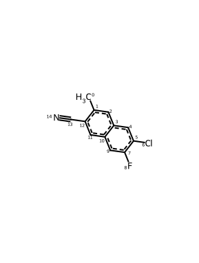 Cc1cc2cc(Cl)c(F)cc2cc1C#N